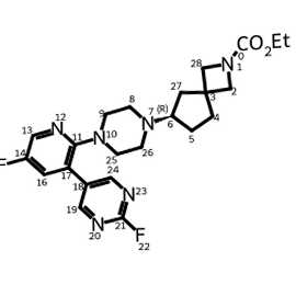 CCOC(=O)N1CC2(CC[C@@H](N3CCN(c4ncc(F)cc4-c4cnc(F)nc4)CC3)C2)C1